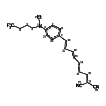 CCN(CCCC(F)(F)F)c1ccc(/C=C/C=C/C=C/C=C(C#N)C#N)cc1